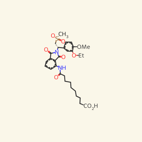 CCOc1cc([C@@H](CS(C)(=O)=O)N2C(=O)c3cccc(NC(=O)CCCCCCCCC(=O)O)c3C2=O)ccc1OC